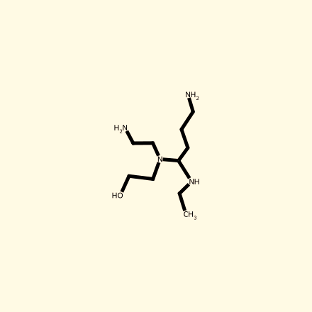 CCNC(CCCN)N(CCN)CCO